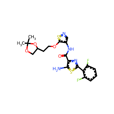 CC1(C)OCC(CCOc2sncc2NC(=O)c2nc(-c3c(F)cccc3F)sc2N)O1